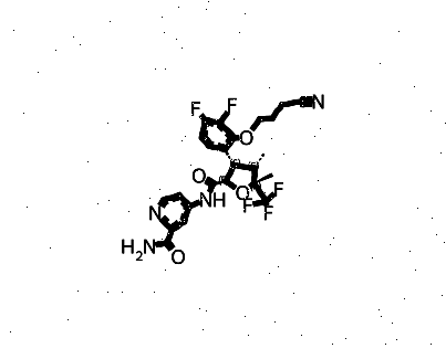 C[C@H]1[C@@H](c2ccc(F)c(F)c2OCCCC#N)[C@H](C(=O)Nc2ccnc(C(N)=O)c2)O[C@@]1(C)C(F)(F)F